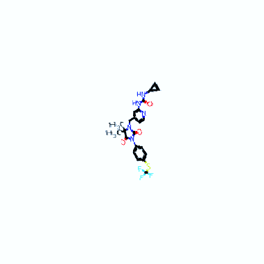 CC1(C)C(=O)N(c2ccc(SC(F)(F)F)cc2)C(=O)N1Cc1ccnc(NC(=O)NC2CC2)c1